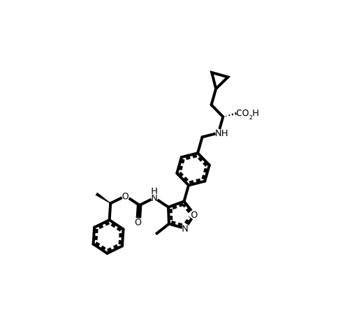 Cc1noc(-c2ccc(CN[C@H](CC3CC3)C(=O)O)cc2)c1NC(=O)O[C@H](C)c1ccccc1